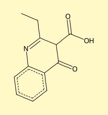 CCC1=Nc2ccccc2C(=O)C1C(=O)O